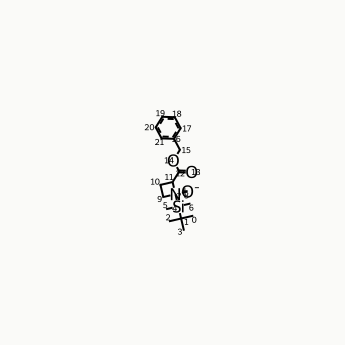 CC(C)(C)[Si](C)(C)[N+]1([O-])CCC1C(=O)OCc1ccccc1